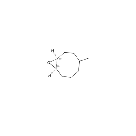 CC1CCC[C@H]2O[C@H]2CC1